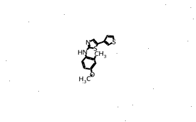 COc1ccc(Nc2ncc(-c3ccsc3)s2)c(C)c1